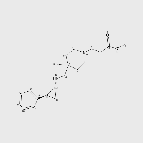 COC(=O)CCN1CCC(F)(CN[C@@H]2C[C@H]2c2ccccc2)CC1